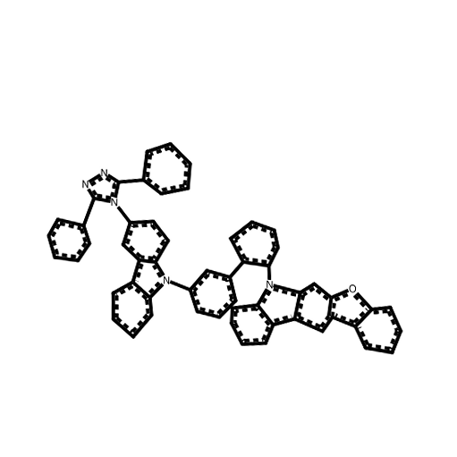 c1ccc(-c2nnc(-c3ccccc3)n2-c2ccc3c(c2)c2ccccc2n3-c2cccc(-c3ccccc3-n3c4ccccc4c4cc5c(cc43)oc3ccccc35)c2)cc1